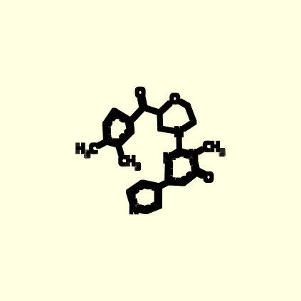 Cc1ccc(C(=O)C2CN(c3nc(-c4ccncc4)cc(=O)n3C)CCO2)cc1C